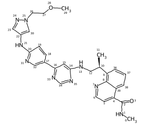 CNC(=O)c1ccnc2c([C@H](C)CNc3cc(-c4ccc(Nc5cnn(CCOC)c5)nc4)ncn3)cccc12